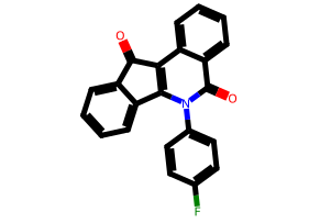 O=C1c2ccccc2-c2c1c1ccccc1c(=O)n2-c1ccc(F)cc1